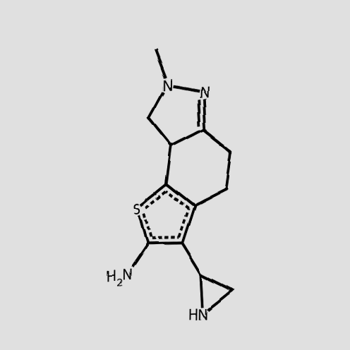 CN1CC2C(=N1)CCc1c2sc(N)c1C1CN1